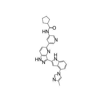 Cc1cn(-c2cccc3[nH]c(-c4n[nH]c5ccc(-c6cncc(NC(=O)C7CCCC7)c6)nc45)cc23)cn1